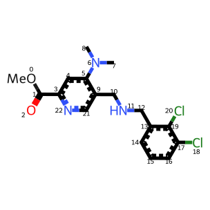 COC(=O)c1cc(N(C)C)c(CNCc2cccc(Cl)c2Cl)cn1